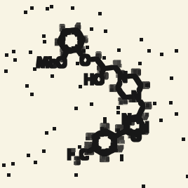 COc1ccccc1OCC(O)CN1CCN(Cc2noc(-c3ccc(C(F)(F)F)cc3)n2)CC1